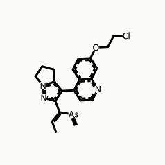 C=[As]C(=CC)c1nn2c(c1-c1ccnc3cc(OCCCl)ccc13)CCC2